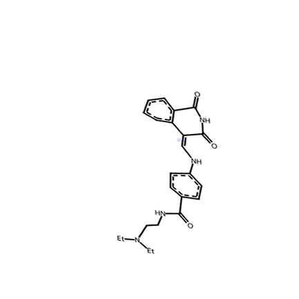 CCN(CC)CCNC(=O)c1ccc(N/C=C2\C(=O)NC(=O)c3ccccc32)cc1